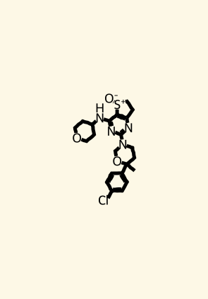 CC1(c2ccc(Cl)cc2)CCN(c2nc3c(c(NC4CCOCC4)n2)[S+]([O-])CC3)CO1